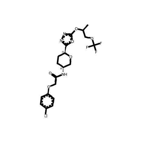 CC(COC(F)(F)F)Oc1nnc([C@@H]2CC[C@@H](NC(=O)COc3ccc(Cl)cc3)CO2)o1